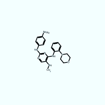 CBc1cnc(Nc2ccc(NC(C)=O)cc2)nc1Nc1ccccc1N1CCOCC1